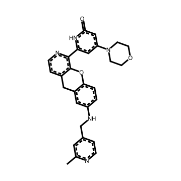 Cc1cc(CNc2ccc3c(c2)Cc2ccnc(-c4cc(N5CCOCC5)cc(=O)[nH]4)c2O3)ccn1